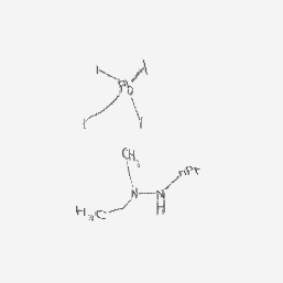 CCCNN(C)C.[I][Pb]([I])([I])[I]